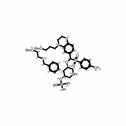 COCCCN1CCOc2ccc(C(O[C@H]3CNC[C@@H](O[Si](C(C)C)(C(C)C)C(C)C)[C@@H]3c3ccc(CSCCOC)cc3)S(=O)(=O)c3ccc(C)cc3)cc21